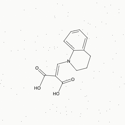 O=C(O)C(=CN1CCCc2ccccc21)C(=O)O